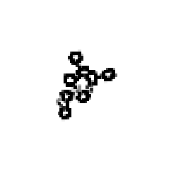 c1ccc(-c2cc3c4c(cc(-c5ccccc5)cc4c2)-c2ccccc2N(c2ccc4sc5ccccc5c4c2)c2ccccc2S3)cc1